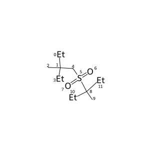 CCC(C)(CC)CS(=O)(=O)C(C)(CC)CC